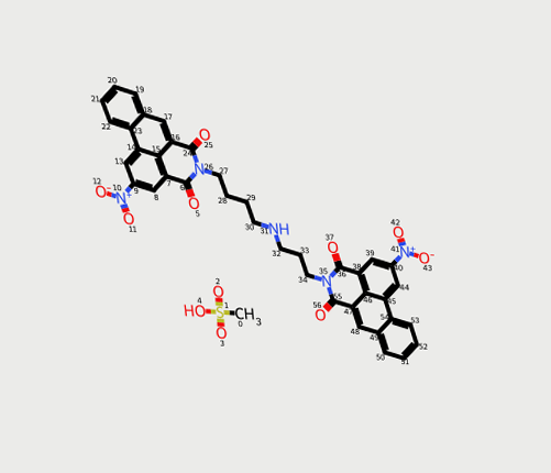 CS(=O)(=O)O.O=C1c2cc([N+](=O)[O-])cc3c2c(cc2ccccc23)C(=O)N1CCCCNCCCN1C(=O)c2cc([N+](=O)[O-])cc3c2c(cc2ccccc23)C1=O